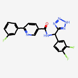 O=C(NC(c1ccc(F)c(F)c1)c1nn[nH]n1)c1ccc(-c2cccc(F)c2)nc1